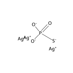 O=P([O-])([O-])[S-].[Ag+].[Ag+].[Ag+]